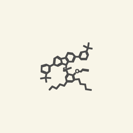 C=CCOc1c(CCCCC)cc(CCCCC)cc1[Si](C)(C)C1c2cc(-c3cccc(C(C)(C)C)c3)ccc2-c2ccc(-c3cccc(C(C)(C)C)c3)cc21